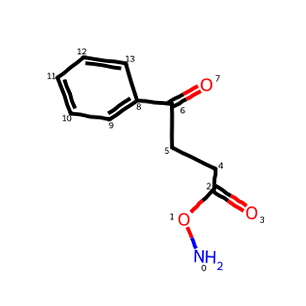 NOC(=O)CCC(=O)c1ccccc1